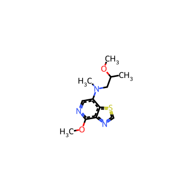 COc1ncc(N(C)CC(C)OC)c2scnc12